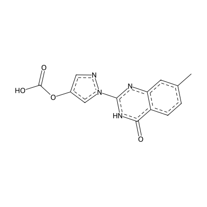 Cc1ccc2c(=O)[nH]c(-n3cc(OC(=O)O)cn3)nc2c1